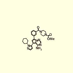 COC(=O)N1CCN(C(=O)c2cccc(-c3cc(-c4ccnn4C4CCCCC4)c4c(N)ncnn34)c2)CC1